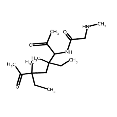 CCC(C)(CC(C)(CC)C(NC(=O)CNC)C(C)=O)C(C)=O